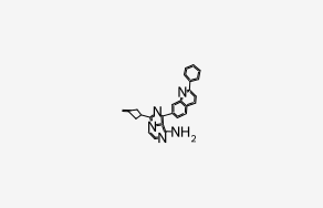 C=C1CC(c2nc(-c3ccc4ccc(-c5ccccc5)nc4c3)c3c(N)nccn23)C1